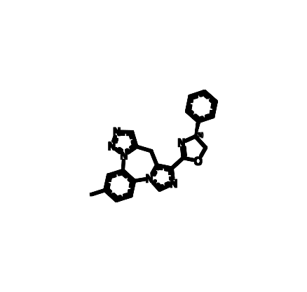 Cc1ccc2c(c1)-n1nncc1Cc1c(C3=N[C@@H](c4ccccc4)CO3)ncn1-2